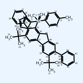 [CH2]=[Zr]([CH3])([C]1=CC=CC1)([c]1ccc(C)cc1)[c]1c2c(cc(C(C)(C)C)c1-c1ccccc1)-c1cc(C(C)(C)C)c(-c3ccccc3)cc1C2